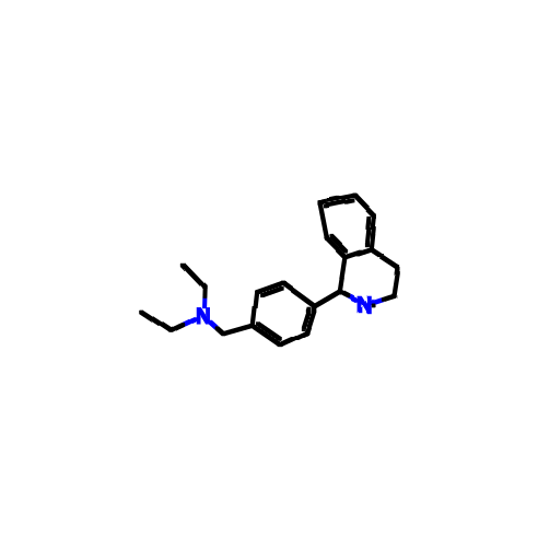 CCN(CC)Cc1ccc(C2[N]CCc3ccccc32)cc1